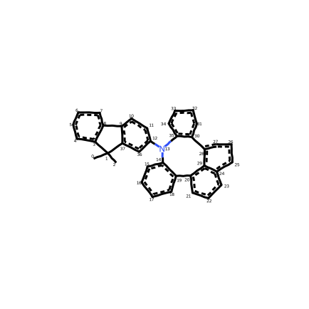 CC1(C)c2ccccc2-c2ccc(N3c4ccccc4-c4cccc5cccc(c45)-c4ccccc43)cc21